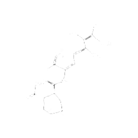 C=C(F)\C(=C/C=C(C)/C(N)=C(/CC)C(=O)O)NC(=O)[C@H]1CCCC[C@@H]1C(=O)OC